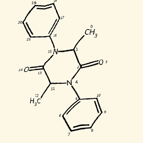 CC1C(=O)N(c2ccccc2)C(C)C(=O)N1c1ccccc1